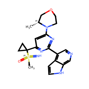 C[C@@H]1COCCN1c1cc(C2([S@](C)(=N)=O)CC2)nc(-c2cncc3[nH]ccc23)n1